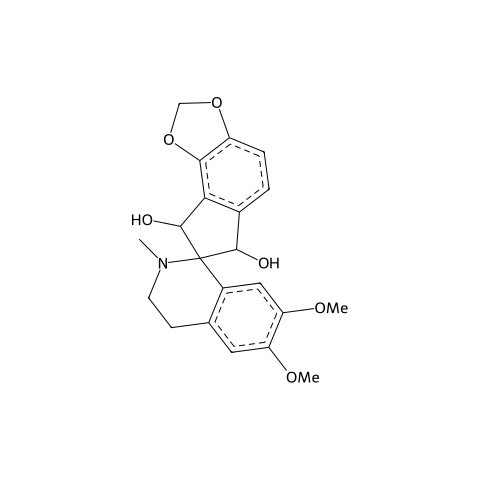 COc1cc2c(cc1OC)C1(C(O)c3ccc4c(c3C1O)OCO4)N(C)CC2